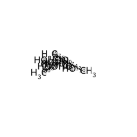 CCCCC[C@@H](O)C[C@@H](O)CC(=O)O[C@H](CCCCC)C[C@@H](O)CC(=O)O[C@H](CCCCC)C[C@@H](O)CC(=O)O